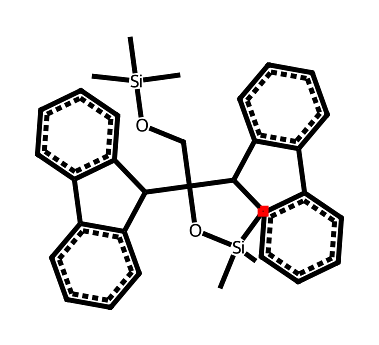 C[Si](C)(C)OCC(O[Si](C)(C)C)(C1c2ccccc2-c2ccccc21)C1c2ccccc2-c2ccccc21